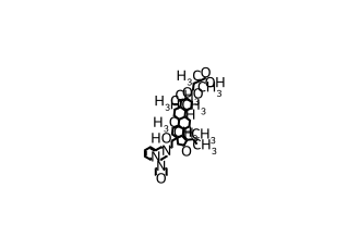 CC(C)C1=C2[C@H]3CC[C@@H]4[C@@]5(C)CC[C@H](OC(=O)CC(C)(C)C(=O)O)C(C)(C)[C@@H]5CC[C@@]4(C)[C@]3(C)CCC2(C(O)CN(CCN2CCOCC2)Cc2ccccn2)CC1=O